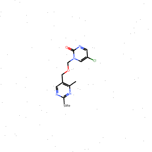 CSc1ncc(COCn2cc(Cl)cnc2=O)c(C)n1